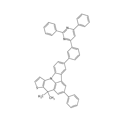 CC1(C)c2sccc2-n2c3ccc(-c4cccc(-c5cc(-c6ccccc6)nc(-c6ccccc6)n5)c4)cc3c3cc(-c4ccccc4)cc1c32